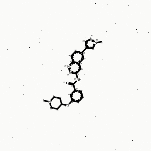 CN1CCC(Oc2cccc(C(=O)Nc3cc4cc(-c5cnn(C)c5)ccc4nn3)c2)CC1